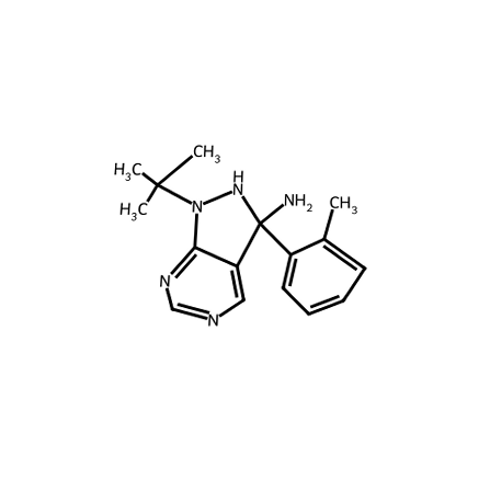 Cc1ccccc1C1(N)NN(C(C)(C)C)c2ncncc21